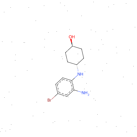 Nc1cc(Br)ccc1N[C@H]1CC[C@H](O)CC1